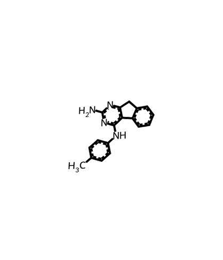 Cc1ccc(Nc2nc(N)nc3c2-c2ccccc2C3)cc1